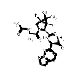 CC(C)(C)[C@H](NC(=O)C(F)(F)F)C(=O)N1C[C@H]2[C@@H]([C@H]1C(=O)NC(C(N)=O)c1ccc3ccnn3n1)C2(C)C